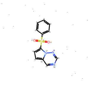 O=S(=O)(c1ccccc1)c1ccc2cn[c]nn12